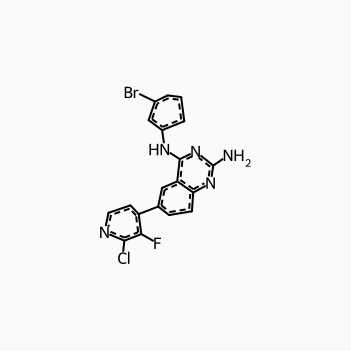 Nc1nc(Nc2cccc(Br)c2)c2cc(-c3ccnc(Cl)c3F)ccc2n1